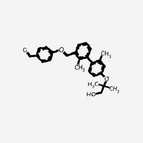 Cc1cc(OC(C)(C)CO)ccc1-c1cccc(COc2ccc(C=O)cc2)c1C